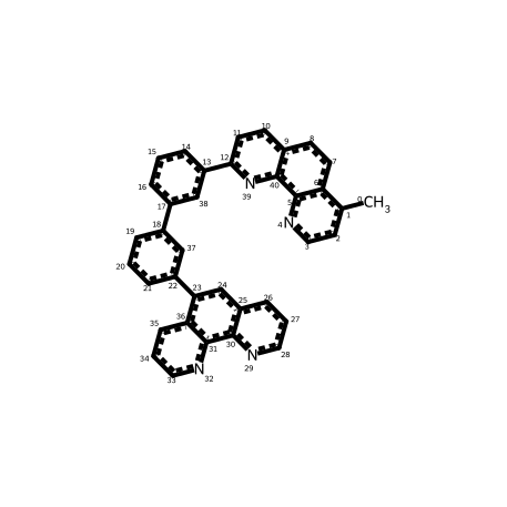 Cc1ccnc2c1ccc1ccc(-c3cccc(-c4cccc(-c5cc6cccnc6c6ncccc56)c4)c3)nc12